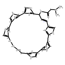 CN(C)CC(=O)OC1/C=C/c2coc(n2)-c2coc(n2)-c2coc(n2)CNOCc2coc(n2)-c2coc(n2)-c2coc1n2